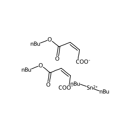 CCCCOC(=O)/C=C\C(=O)[O-].CCCCOC(=O)/C=C\C(=O)[O-].CCC[CH2][Sn+2][CH2]CCC